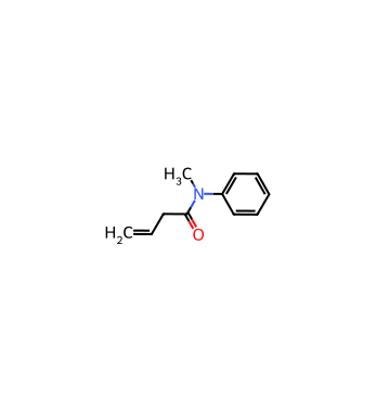 C=CCC(=O)N(C)c1ccccc1